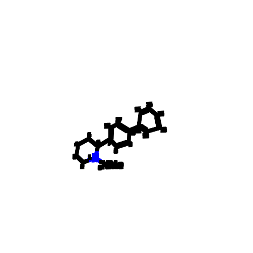 CNN1CCCCC1c1ccc(-c2ccccc2)cc1